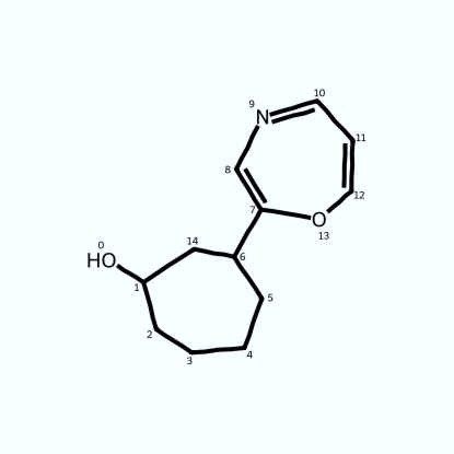 OC1CCCCC(C2=CN=CC=CO2)C1